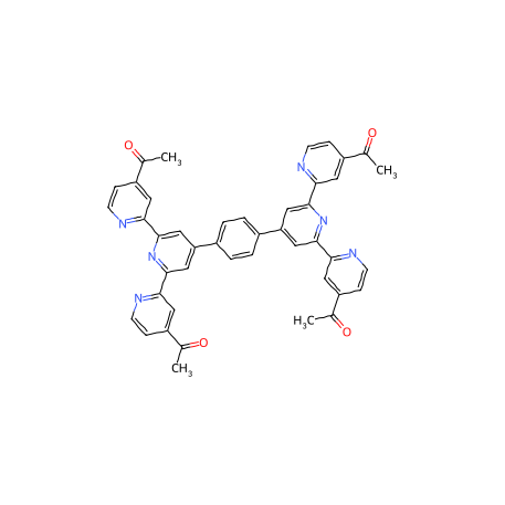 CC(=O)c1ccnc(-c2cc(-c3ccc(-c4cc(-c5cc(C(C)=O)ccn5)nc(-c5cc(C(C)=O)ccn5)c4)cc3)cc(-c3cc(C(C)=O)ccn3)n2)c1